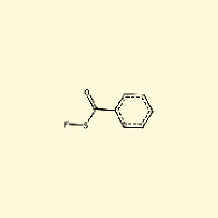 O=C(SF)c1ccccc1